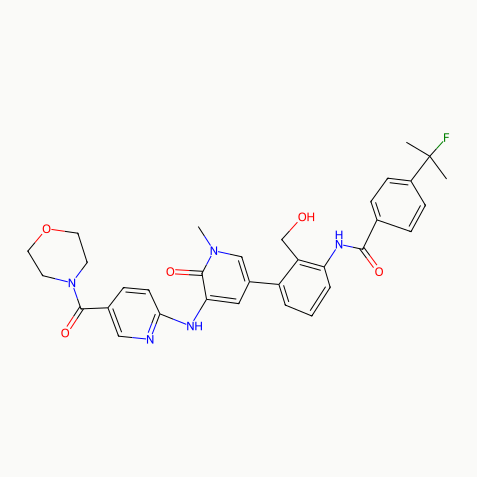 Cn1cc(-c2cccc(NC(=O)c3ccc(C(C)(C)F)cc3)c2CO)cc(Nc2ccc(C(=O)N3CCOCC3)cn2)c1=O